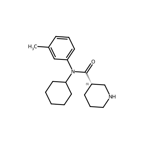 Cc1cccc(N(C(=O)[C@H]2CCCNC2)C2CCCCC2)c1